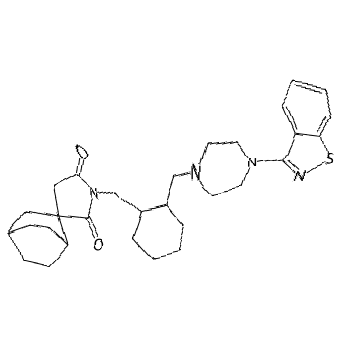 O=C1CC2(CC3CCC2CC3)C(=O)N1CC1CCCCC1CN1CCN(c2nsc3ccccc23)CC1